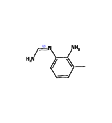 Cc1cccc(/N=C\N)c1N